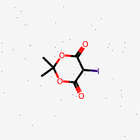 CC1(C)OC(=O)C(I)C(=O)O1